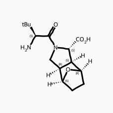 CC(C)(C)[C@H](N)C(=O)N1C[C@H]2[C@@H]([C@H]1C(=O)O)[C@H]1CC[C@@H]2O1